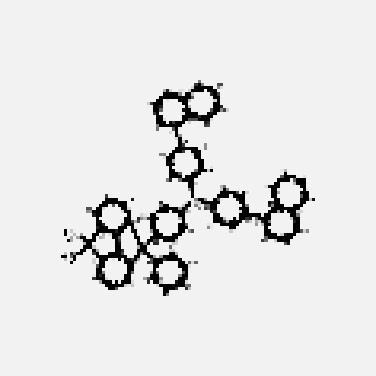 CC1(C)c2cccc3c2-c2c1cccc2C3(c1ccccc1)c1ccc(N(c2ccc(-c3cccc4ccccc34)cc2)c2ccc(-c3cccc4ccccc34)cc2)cc1